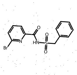 O=C(NS(=O)(=O)Cc1ccccc1)c1cccc(Br)n1